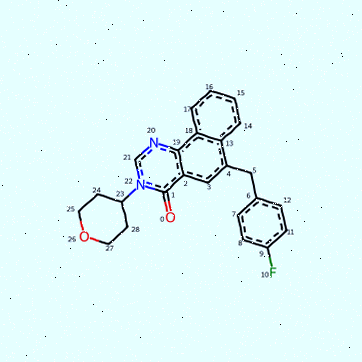 O=c1c2cc(Cc3ccc(F)cc3)c3ccccc3c2ncn1C1CCOCC1